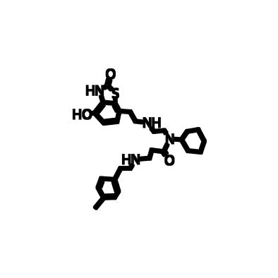 Cc1ccc(CCNCCC(=O)N(CCNCCc2ccc(O)c3[nH]c(=O)sc23)C2CCCCC2)cc1